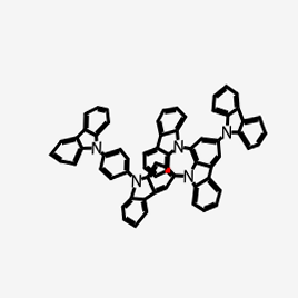 c1ccc2c(c1)c1ccccc1n2-c1ccc(-n2c3ccccc3c3cc(-n4c5ccccc5c5cc(-n6c7ccccc7c7ccccc76)cc(-n6c7ccccc7c7ccccc76)c54)ccc32)cc1